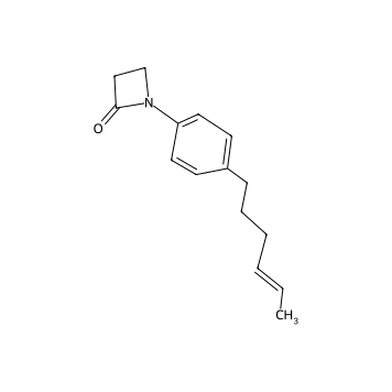 CC=CCCCc1ccc(N2CCC2=O)cc1